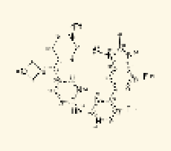 CCN1CCC(C(=C2COC2)c2ccc(Nc3ncc(F)c(-c4cc(F)c5nc(C)n(C(C)C)c5c4)n3)nc2)CC1